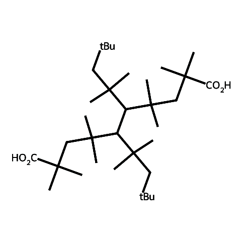 CC(C)(C)CC(C)(C)C(C(C(C)(C)CC(C)(C)C)C(C)(C)CC(C)(C)C(=O)O)C(C)(C)CC(C)(C)C(=O)O